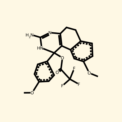 COc1ccc(C2(OC(=O)C(F)(F)F)NC(N)=NC3=C2c2cc(OC)ccc2CC3)cc1